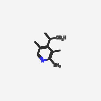 Bc1ncc(C)c(C(C)C(=O)O)c1C